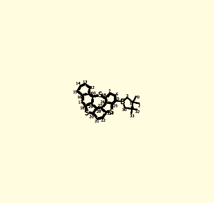 CC1(C)CB(c2ccc3sc4c5ccccc5cc5sc6ccc7sc2c3c7c6c54)CC1(C)C